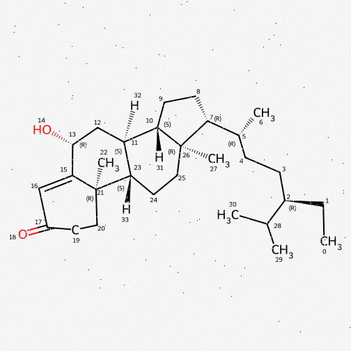 CC[C@H](CC[C@@H](C)[C@H]1CC[C@H]2[C@@H]3C[C@@H](O)C4=CC(=O)CC[C@]4(C)[C@H]3CC[C@]12C)C(C)C